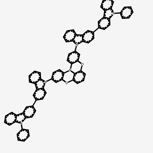 c1ccc(-n2c3ccccc3c3cc(-c4ccc5c(c4)c4ccccc4n5-c4ccc5c(c4)Oc4cccc6c4N5c4ccc(-n5c7ccccc7c7cc(-c8ccc9c(c8)c8ccccc8n9-c8ccccc8)ccc75)cc4O6)ccc32)cc1